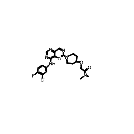 CN(C)C(=O)COC1CCN(c2ncc3ncnc(Nc4ccc(F)c(Cl)c4)c3n2)CC1